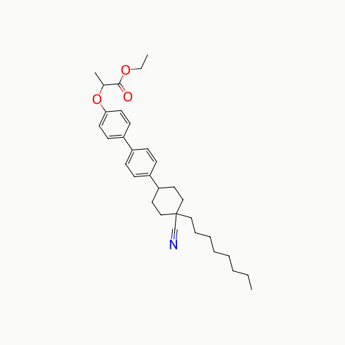 CCCCCCCCC1(C#N)CCC(c2ccc(-c3ccc(OC(C)C(=O)OCC)cc3)cc2)CC1